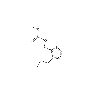 CCCc1ccnn1COC(=O)OC